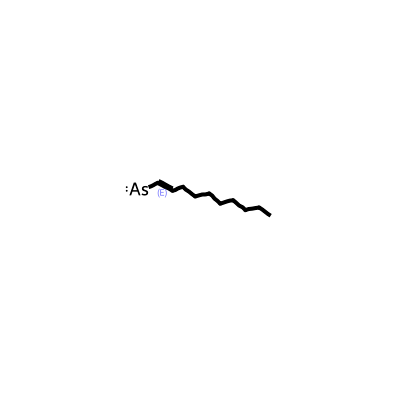 CCCCCCCC/C=C/[As]